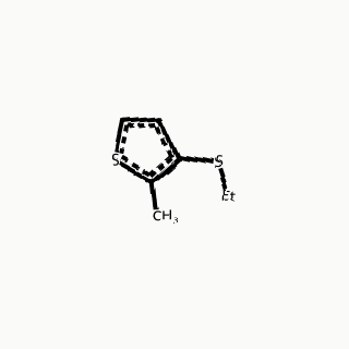 CCSc1ccsc1C